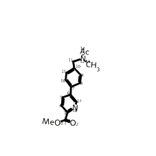 COC(=O)c1ccc(-c2ccc(CN(C)C(C)=O)cc2)cn1